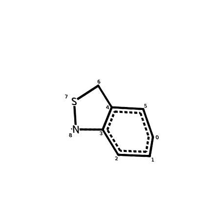 c1ccc2c(c1)CS[N]2